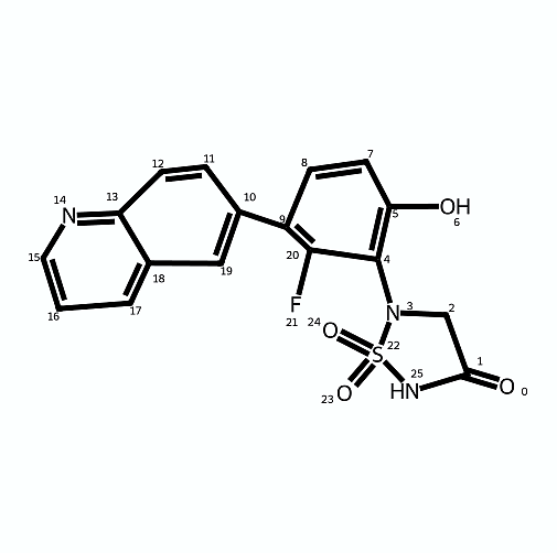 O=C1CN(c2c(O)ccc(-c3ccc4ncccc4c3)c2F)S(=O)(=O)N1